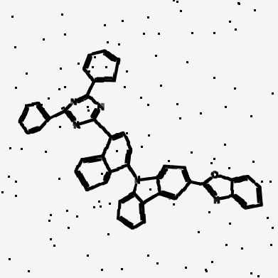 c1ccc(-c2nc(-c3ccccc3)nc(-c3ccc(-n4c5ccccc5c5cc(-c6nc7ccccc7o6)ccc54)c4ccccc34)n2)cc1